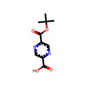 CC(C)(C)OC(=O)c1cnc(C(=O)O)cn1